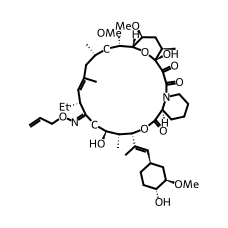 C=CCO/N=C1/C[C@H](O)[C@@H](C)[C@@H](/C(C)=C/[C@@H]2CC[C@@H](O)[C@H](OC)C2)OC(=O)[C@@H]2CCCCN2C(=O)C(=O)[C@]2(O)O[C@H]([C@@H](OC)C[C@@H](C)C/C(C)=C/[C@H]1CC)[C@@H](OC)C[C@H]2C